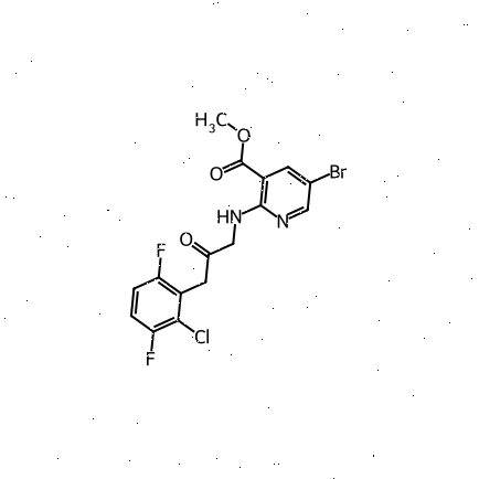 COC(=O)c1cc(Br)cnc1NCC(=O)Cc1c(F)ccc(F)c1Cl